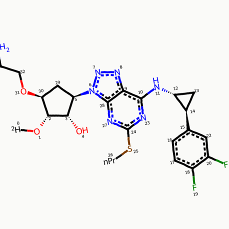 [2H]O[C@H]1[C@@H](O)[C@H](n2nnc3c(N[C@@H]4C[C@H]4c4ccc(F)c(F)c4)nc(SCCC)nc32)C[C@@H]1OCCN